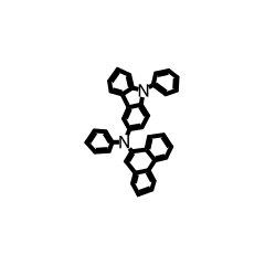 c1ccc(N(c2ccc3c(c2)c2ccccc2n3-c2ccccc2)c2cc3ccccc3c3ccccc23)cc1